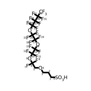 O=S(=O)(O)CCCOCC(F)(F)OC(F)(F)C(F)(F)OC(F)(F)C(F)(F)OC(F)(F)C(F)(F)C(F)(F)C(F)(F)F